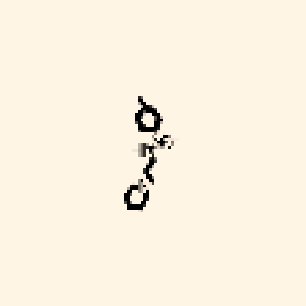 Cc1ccc([S+]([O-])NCCCN2CCCCC2)cc1